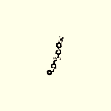 O=C(NCCC1CCN(Cc2ccccc2)CC1)C1CCN(c2ccc(OC(F)(F)F)cc2)CC1